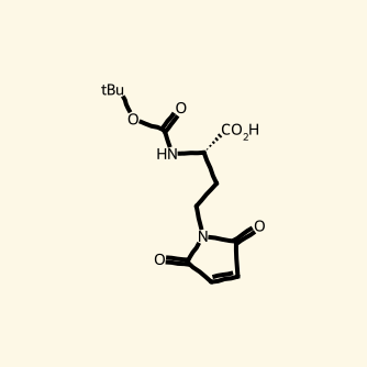 CC(C)(C)OC(=O)N[C@@H](CCN1C(=O)C=CC1=O)C(=O)O